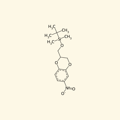 CC(C)(C)[Si](C)(C)OCC1COc2cc([N+](=O)[O-])ccc2O1